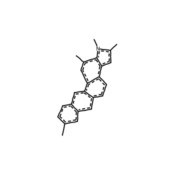 Cc1ccc2cc3c(ccc4c3cc(C)c3c4cc(C)n3C)cc2c1